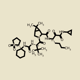 CCCC[C@H](NC(=O)C1C2C(CN1C(=O)[C@@H](NC(=O)NC1([C@H]3CCCS3(=O)=O)CCCCC1)C(C)(C)C)C2(C)C)C(=O)C(=O)NC1CC1